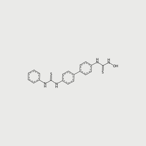 ONC(=S)Nc1ccc(-c2ccc(NC(=S)Nc3ccccc3)cc2)cc1